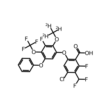 [2H]C([2H])([2H])Oc1c(Oc2cc(Cl)c(C(F)F)c(F)c2C(=O)O)cc(Oc2ccccc2)c(OC(F)(F)F)c1F